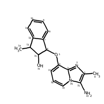 Cc1nc2c(OC3c4ccccc4C(C)C3O)cccn2c1N